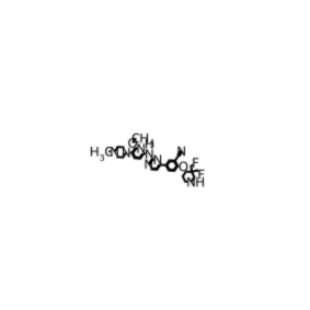 COc1nc(Nc2nccc(-c3ccc(OC4CCNCC4(CF)CF)c(C#N)c3)n2)ccc1N1CCN(C)CC1